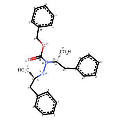 O=C(O)[C@H](Cc1ccccc1)NN(C(=O)OCc1ccccc1)[C@@H](Cc1ccccc1)C(=O)O